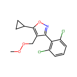 COOCc1c(-c2c(Cl)cccc2Cl)noc1C1CC1